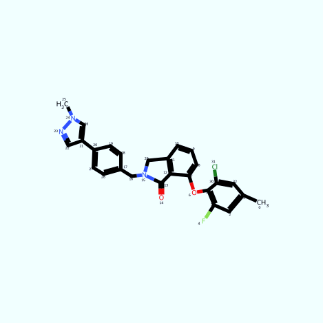 Cc1cc(F)c(Oc2cccc3c2C(=O)N(Cc2ccc(-c4cnn(C)c4)cc2)C3)c(Cl)c1